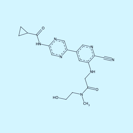 CN(CCO)C(=O)CNc1cc(-c2cnc(NC(=O)C3CC3)cn2)cnc1C#N